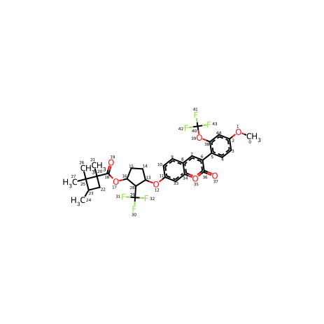 COc1ccc(-c2cc3ccc(OC4CCC(OC(=O)C5(C)CC(C)C5(C)C)C4C(F)(F)F)cc3oc2=O)c(OC(F)(F)F)c1